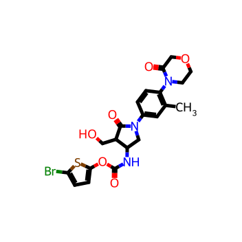 Cc1cc(N2CC(NC(=O)Oc3ccc(Br)s3)C(CO)C2=O)ccc1N1CCOCC1=O